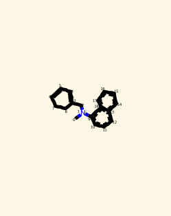 CN(CC1=CC=CCC1)c1cccc2ccccc12